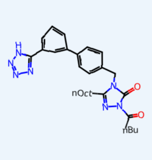 CCCCCCCCc1nn(C(=O)CCCC)c(=O)n1Cc1ccc(-c2cccc(-c3nnn[nH]3)c2)cc1